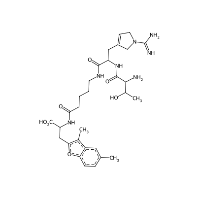 Cc1ccc2oc(CC(NC(=O)CCCCNC(=O)C(CC3=CCN(C(=N)N)C3)NC(=O)C(N)C(C)O)C(=O)O)c(C)c2c1